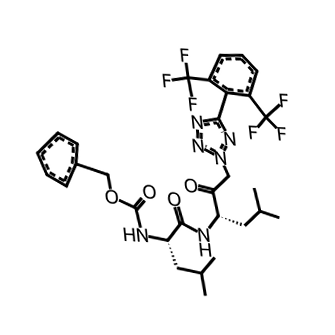 CC(C)C[C@H](NC(=O)[C@H](CC(C)C)NC(=O)OCc1ccccc1)C(=O)Cn1nnc(-c2c(C(F)(F)F)cccc2C(F)(F)F)n1